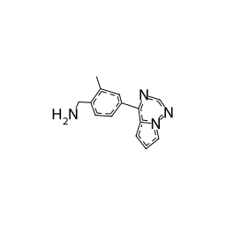 Cc1cc(-c2ncnn3cccc23)ccc1CN